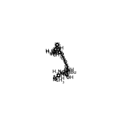 Cc1ncsc1-c1ccc(C(CN)NC(=O)[C@@H]2C[C@@H](O)CN2C(=O)C(NC(=O)COCCOCCOCCOc2cc(F)c([C@@H]3c4[nH]c5ccccc5c4C[C@@H](C)N3CC(C)(C)F)c(F)c2)C(C)(C)C)cc1